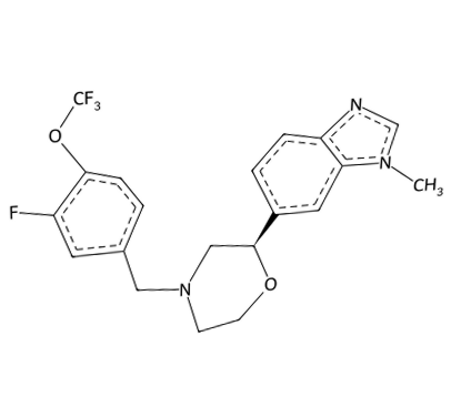 Cn1cnc2ccc([C@@H]3CN(Cc4ccc(OC(F)(F)F)c(F)c4)CCO3)cc21